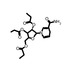 CCC(=O)OCC1OC(N2C=CCC(C(N)=O)=C2)[C@H](OC(=O)CC)C1OC(=O)CC